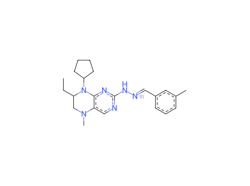 CCC1CN(C)c2cnc(N/N=C/c3cccc(C)c3)nc2N1C1CCCC1